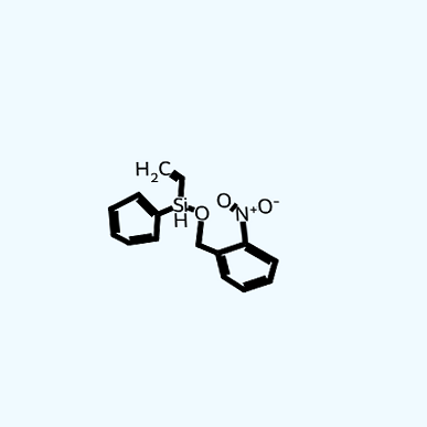 C=C[SiH](OCc1ccccc1[N+](=O)[O-])c1ccccc1